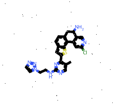 Cc1cnc(NCCn2ccnn2)nc1-c1cc2ccc3c(c2s1)-c1cc(Cl)ncc1C(N)C3